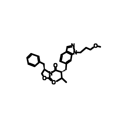 COCCCn1ncc2ccc(C[C@@H](C(=O)N3C(=O)OC[C@H]3Cc3ccccc3)C(C)C)cc21